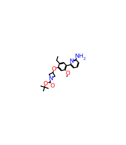 CCc1cc(-c2cccc(N)n2)c(OC)cc1OC1CN(C(=O)OC(C)(C)C)C1